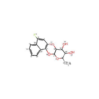 O=C(O)C1OC(Oc2ccc(F)c3ccccc23)C(O)C(O)C1O